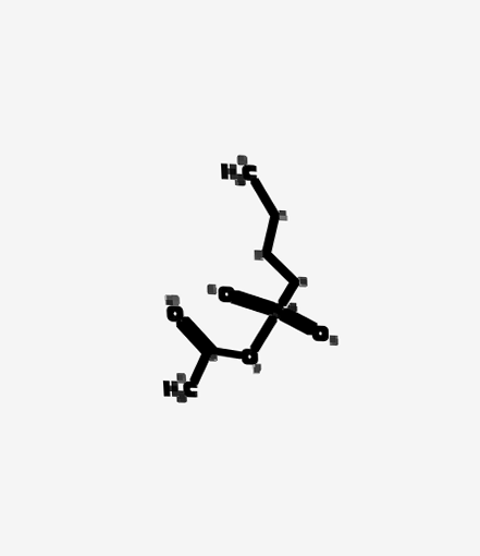 CCCCS(=O)(=O)OC(C)=O